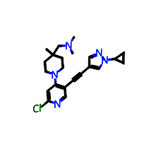 CN(C)CC1(C)CCN(c2cc(Cl)ncc2C#Cc2cnn(C3CC3)c2)CC1